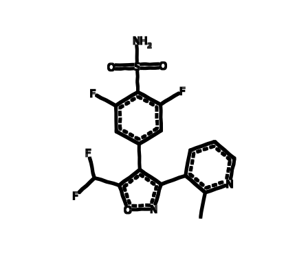 Cc1ncccc1-c1noc(C(F)F)c1-c1cc(F)c(S(N)(=O)=O)c(F)c1